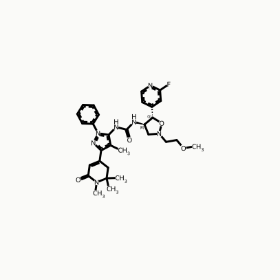 COCCN1C[C@@H](NC(=O)Nc2c(C)c(C3=CC(=O)N(C)C(C)(C)C3)nn2-c2ccccc2)[C@H](c2ccnc(F)c2)O1